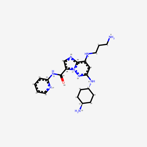 NCCCNc1cc(N[C@H]2CC[C@H](N)CC2)nn2c(C(=O)Nc3ccccn3)cnc12